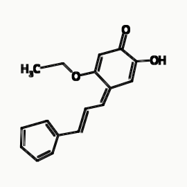 CCOC1=CC(=O)C(O)=CC1=CC=Cc1ccccc1